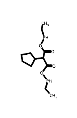 CCPOC(=O)C(C(=O)OPCC)C1CCCC1